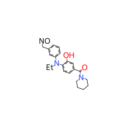 CCN(c1cccc(CN=O)c1)c1ccc(C(=O)N2CCCCC2)cc1O